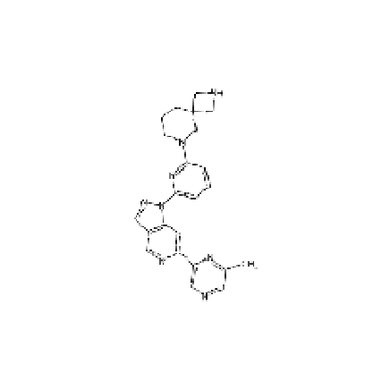 Cc1cncc(-c2cc3c(cn2)cnn3-c2cccc(N3CCCC4(CNC4)C3)n2)n1